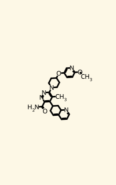 COc1ccc(OC2CCN(c3nnc(C(N)=O)c(C4CC=C5C=CC=NC5C4)c3C)CC2)cn1